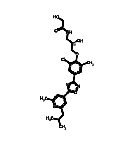 Cc1cc(-c2nc(-c3cc(C)c(OC[C@@H](O)CNC(=O)CO)c(Cl)c3)no2)cc(CC(C)C)n1